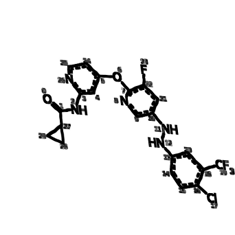 O=C(Nc1cc(Oc2ncc(NNc3ccc(Cl)c(C(F)(F)F)c3)cc2F)ccn1)C1CC1